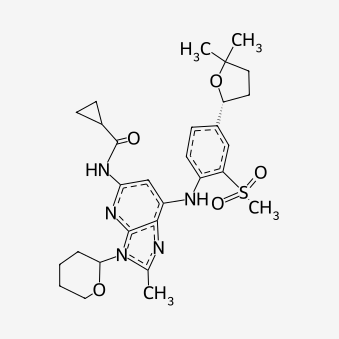 Cc1nc2c(Nc3ccc([C@H]4CCC(C)(C)O4)cc3S(C)(=O)=O)cc(NC(=O)C3CC3)nc2n1C1CCCCO1